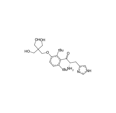 CC(C)(C)c1ccc(OCC(CO)(CO)CO)c(C(C)(C)C)c1C(=O)[C@@H](N)Cc1c[nH]cn1